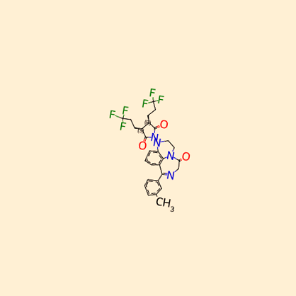 Cc1cccc(C2=NCC(=O)N3CCN(N4C(=O)[C@@H](CCC(F)(F)F)[C@@H](CCC(F)(F)F)C4=O)c4cccc2c43)c1